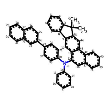 CC1(C)c2ccccc2-c2cc3c(N(c4ccccc4)c4ccc(-c5ccc6ccccc6c5)cc4)cc4ccccc4c3cc21